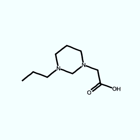 CCCN1CCCN(CC(=O)O)C1